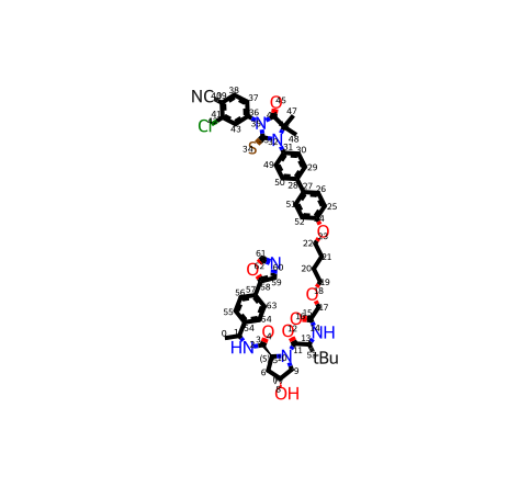 CC(NC(=O)[C@@H]1C[C@@H](O)CN1C(=O)C(NC(=O)COCCCCOc1ccc(-c2ccc(N3C(=S)N(c4ccc(C#N)c(Cl)c4)C(=O)C3(C)C)cc2)cc1)C(C)(C)C)c1ccc(-c2cnco2)cc1